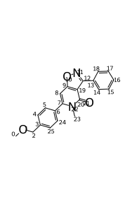 COCc1ccc(-c2cc3onc(-c4ccccc4)c3c(=O)n2C)cc1